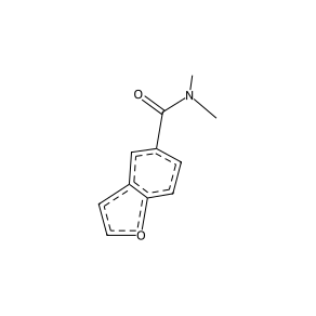 CN(C)C(=O)c1ccc2occc2c1